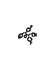 O=C(C(Cc1ccncc1)c1ccc(F)cc1)C(Cc1ccncc1)c1ccc(F)cc1